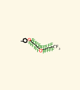 Cc1ccc(OC(F)(F)C(F)(F)C(F)(F)C(F)(F)C(F)(F)C(F)(F)OC(F)(F)C(F)(F)C(F)(F)C(F)(F)C(F)(F)C(F)(F)F)cc1